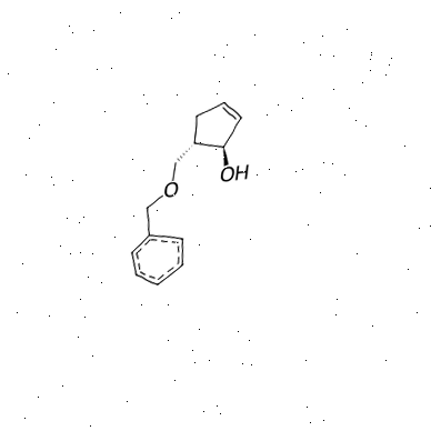 O[C@@H]1C=CC[C@H]1COCc1ccccc1